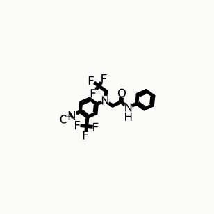 [C-]#[N+]c1ccc(N(CC(=O)Nc2ccccc2)CC(F)(F)F)cc1C(F)(F)F